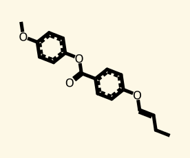 CCC=COc1ccc(C(=O)Oc2ccc(OC)cc2)cc1